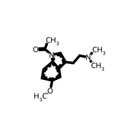 COc1ccc2c(c1)c(CCN(C)C)cn2C(C)=O